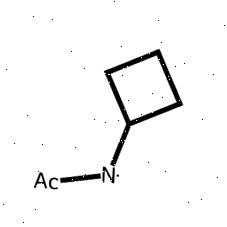 CC(=O)[N]C1CCC1